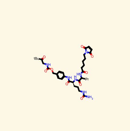 CC(C)C(NC(=O)CCCCCN1C(=O)C=CC1=O)C(=O)N[C@@H](CCCNC(N)=O)C(=O)Nc1ccc(COC(=O)NCC(=O)C(C)(C)C)cc1